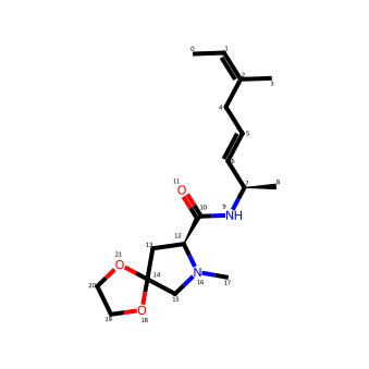 C/C=C(/C)C/C=C/[C@@H](C)NC(=O)[C@@H]1CC2(CN1C)OCCO2